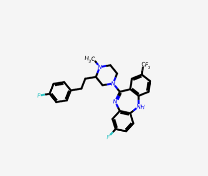 CN1CCN(C2=Nc3cc(F)ccc3Nc3ccc(C(F)(F)F)cc32)CC1CCc1ccc(F)cc1